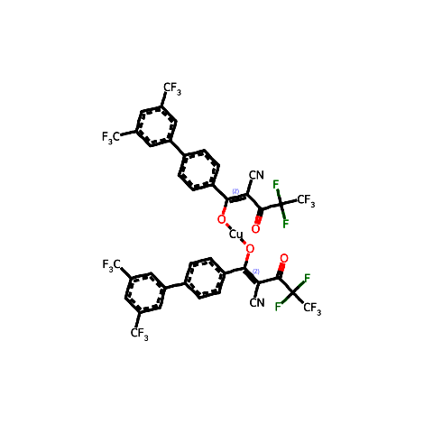 N#C/C(C(=O)C(F)(F)C(F)(F)F)=C(/[O][Cu][O]/C(=C(/C#N)C(=O)C(F)(F)C(F)(F)F)c1ccc(-c2cc(C(F)(F)F)cc(C(F)(F)F)c2)cc1)c1ccc(-c2cc(C(F)(F)F)cc(C(F)(F)F)c2)cc1